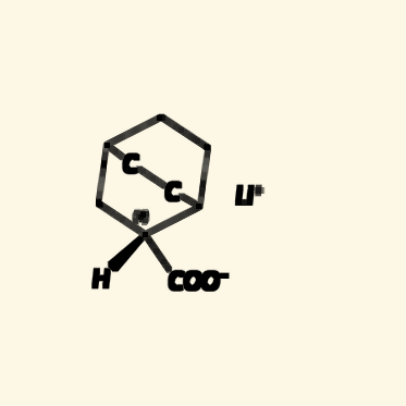 O=C([O-])[C@@H]1CC2CCC1CC2.[Li+]